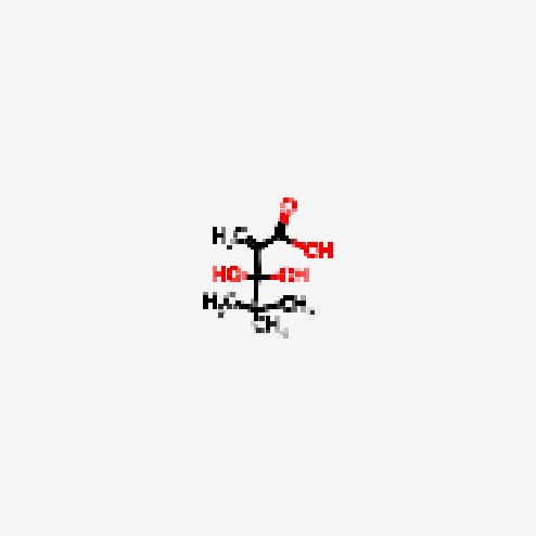 C=C(C(=O)O)C(O)(O)C(C)(C)C